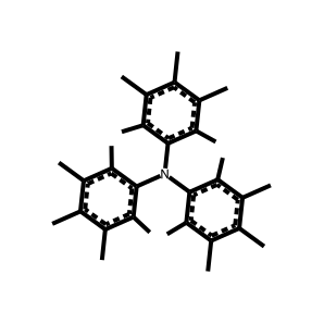 Cc1c(C)c(C)c(N(c2c(C)c(C)c(C)c(C)c2C)c2c(C)c(C)c(C)c(C)c2C)c(C)c1C